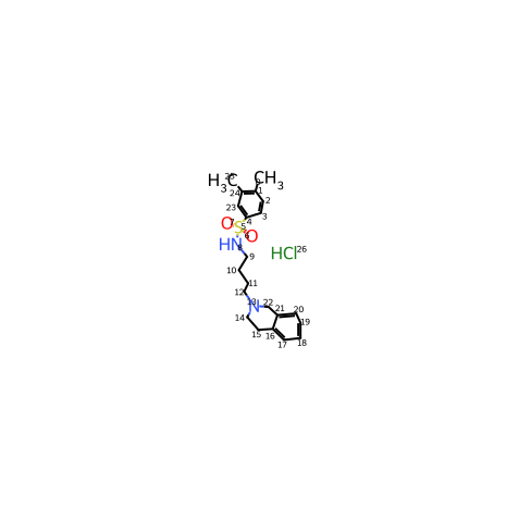 Cc1ccc(S(=O)(=O)NCCCCN2CCc3ccccc3C2)cc1C.Cl